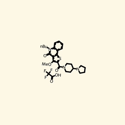 CCCCn1c(=O)c2c(OC)c(C(=O)N3CCC(N4CCCC4)CC3)sc2c2ccccc21.O=C(O)C(F)(F)F